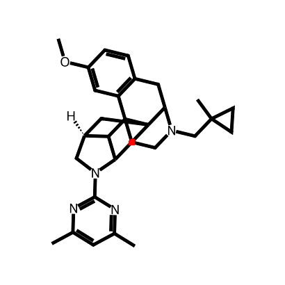 COc1ccc2c(c1)C13CCN(CC4(C)CC4)C(C2)C12CCC1C3[C@@H](CN1c1nc(C)cc(C)n1)C2